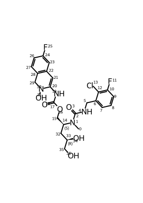 CN(C(=O)NCc1cccc(F)c1Cl)[C@H](COC(=O)NC1=Cc2cc(F)ccc2CN1O)C[C@@H](O)CO